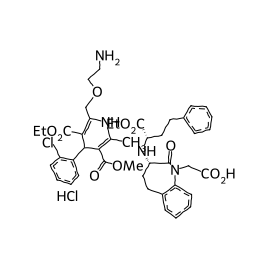 CCOC(=O)C1=C(COCCN)NC(C)=C(C(=O)OC)C1c1ccccc1Cl.CCOC(=O)[C@H](CCc1ccccc1)N[C@H]1CCc2ccccc2N(CC(=O)O)C1=O.Cl